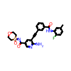 Cc1ccc(F)c(NC(=O)c2cccc(C#Cc3cc(C(=O)N=S4(=O)CCOCC4)cnc3N)c2)c1